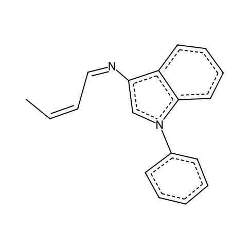 C/C=C\C=N/c1cn(-c2ccccc2)c2ccccc12